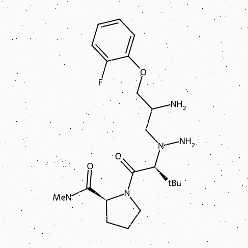 CNC(=O)[C@@H]1CCCN1C(=O)[C@@H](N(N)CC(N)COc1ccccc1F)C(C)(C)C